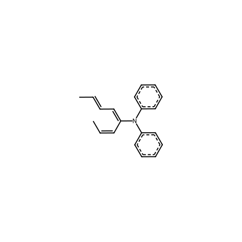 C\C=C/C(=C\C=C\C)N(c1ccccc1)c1ccccc1